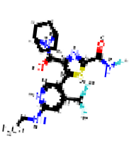 O=C(NF)c1nc(C(=O)N2C3CCC2CC3)c(-c2cnc(NCC(F)(F)F)cc2C(F)F)s1